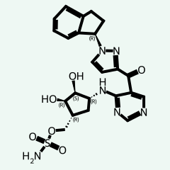 NS(=O)(=O)OC[C@H]1C[C@@H](Nc2ncncc2C(=O)c2ccn([C@@H]3CCc4ccccc43)n2)[C@H](O)[C@@H]1O